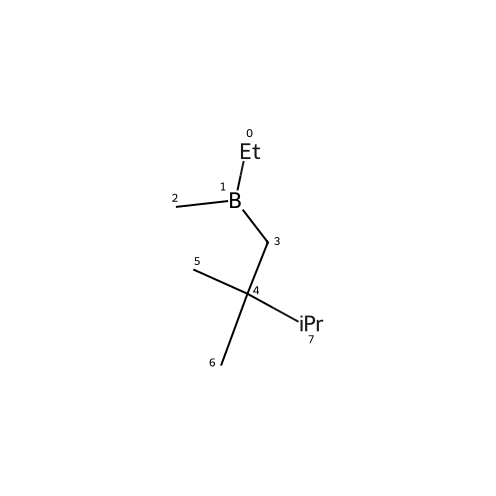 CCB(C)CC(C)(C)C(C)C